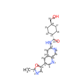 Cc1ncc(-c2cnc3cnc(NC(=O)[C@H]4CC[C@H](CO)CC4)cc3c2)o1